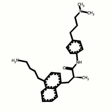 C[C@@H](Cc1ccc(CCCCN)c2ccccc12)C(=O)Nc1ccc(CCCN(C)C)cc1